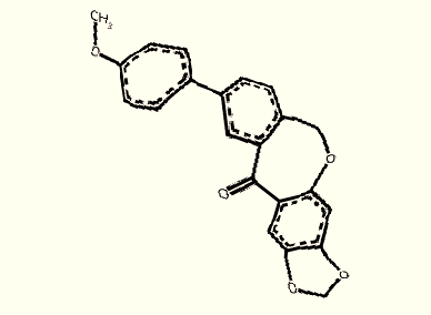 COc1ccc(-c2ccc3c(c2)C(=O)c2cc4c(cc2OC3)OCO4)cc1